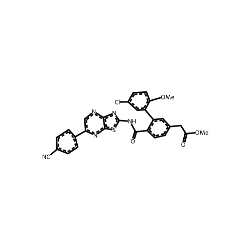 COC(=O)Cc1ccc(C(=O)Nc2nc3ncc(-c4ccc(C#N)cc4)nc3s2)c(-c2cc(Cl)ccc2OC)c1